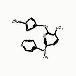 CN(c1ccncc1)c1ccc([N+](=O)[O-])c(Nc2ccc(C(C)(C)C)cc2)n1